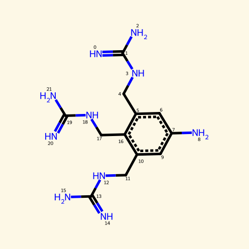 N=C(N)NCc1cc(N)cc(CNC(=N)N)c1CNC(=N)N